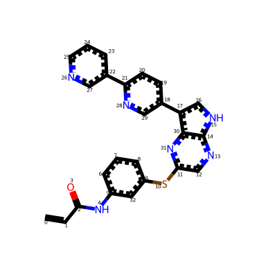 C=CC(=O)Nc1cccc(Sc2cnc3[nH]cc(-c4ccc(-c5cccnc5)nc4)c3n2)c1